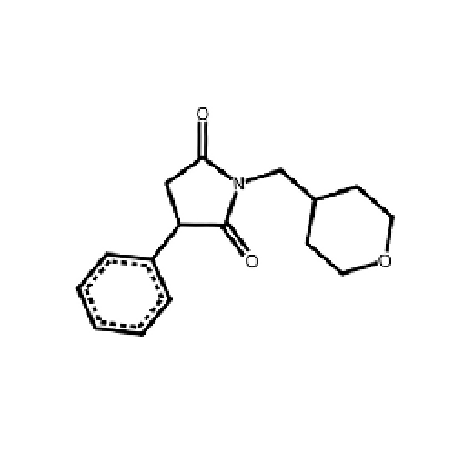 O=C1CC(c2ccccc2)C(=O)N1CC1CCOCC1